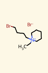 CC[N+]1(CCCCBr)CCCCC1.[Br-]